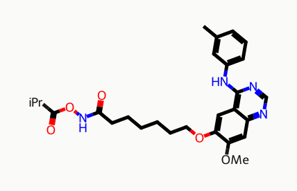 COc1cc2ncnc(Nc3cccc(C)c3)c2cc1OCCCCCCC(=O)NOC(=O)C(C)C